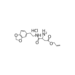 C=CCOC(=O)CC(N)C(=O)NCCc1ccc2c(c1)OCO2.Cl